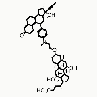 CC#C[C@@]1(O)[C@@H](C)CC2C3CCC4=CC(=O)CCC4=C3[C@H](c3ccc(N(C)CCO[C@H]4CC[C@@]5(C)[C@@H](C4)C[C@@H](O)[C@@H]4[C@@H]5C[C@H](O)[C@]5(C)[C@@H]([C@H](C)CCC(=O)O)CC[C@@H]45)cc3)C[C@@]21C